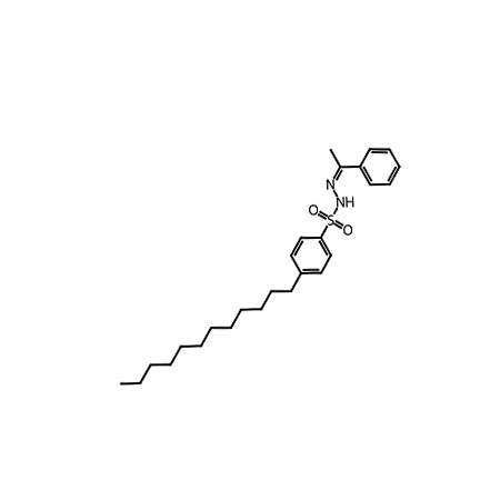 CCCCCCCCCCCCc1ccc(S(=O)(=O)NN=C(C)c2ccccc2)cc1